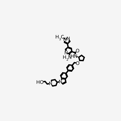 Cn1cc(-c2cnc(N)c(C(=O)N[C@H]3CCC[C@@H]3OCc3ccc(-c4ccc5c(ccn5C5CCN(CCO)CC5)c4)cc3)c2)cn1